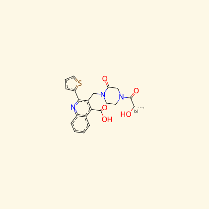 C[C@H](O)C(=O)N1CCN(Cc2c(-c3cccs3)nc3ccccc3c2C(=O)O)C(=O)C1